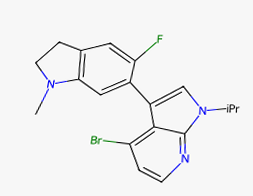 CC(C)n1cc(-c2cc3c(cc2F)CCN3C)c2c(Br)ccnc21